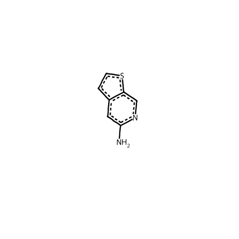 Nc1cc2ccsc2cn1